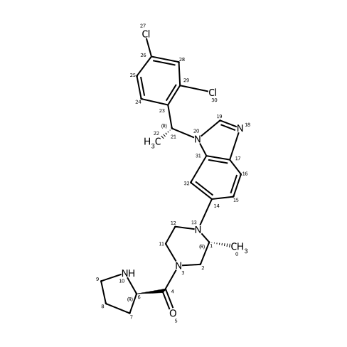 C[C@@H]1CN(C(=O)[C@H]2CCCN2)CCN1c1ccc2ncn([C@H](C)c3ccc(Cl)cc3Cl)c2c1